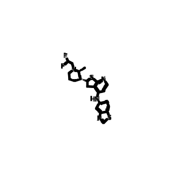 C[C@H]1[C@H](C2Cc3c(Nc4ccc5scnc5c4)ccnc3S2)CCCN1CC(F)F